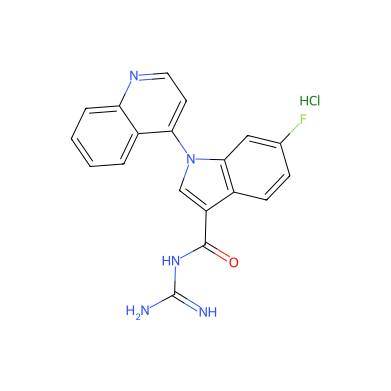 Cl.N=C(N)NC(=O)c1cn(-c2ccnc3ccccc23)c2cc(F)ccc12